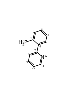 Pc1ccccc1-c1ccccn1